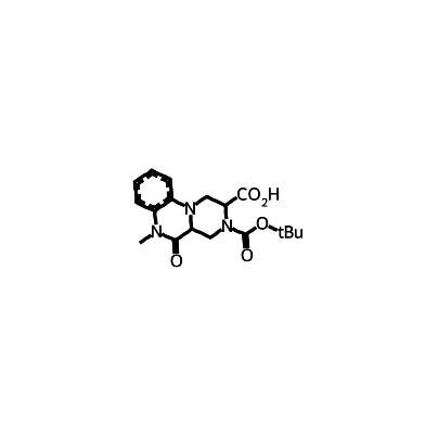 CN1C(=O)C2CN(C(=O)OC(C)(C)C)C(C(=O)O)CN2c2ccccc21